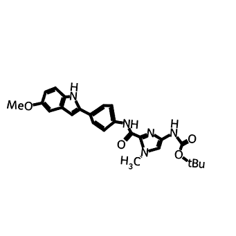 COc1ccc2[nH]c(-c3ccc(NC(=O)c4nc(NC(=O)OC(C)(C)C)cn4C)cc3)cc2c1